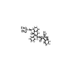 CCOC(C#Cc1cccc2cc(C(C)NC(=O)c3c(N)nn4cccnc34)n(-c3ccccc3)c(=O)c12)OCC